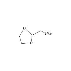 CSCC1OCCO1